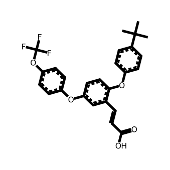 CC(C)(C)c1ccc(Oc2ccc(Oc3ccc(OC(F)(F)F)cc3)cc2/C=C/C(=O)O)cc1